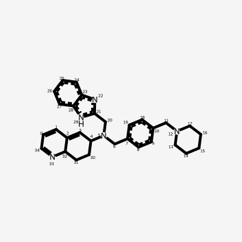 C1=CC2=CC(N(Cc3ccc(CN4CCCCC4)cc3)Cc3nc4ccccc4[nH]3)CCC2N=C1